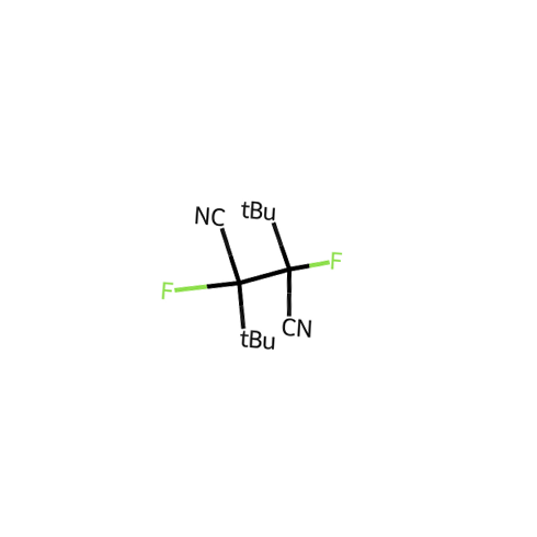 CC(C)(C)C(F)(C#N)C(F)(C#N)C(C)(C)C